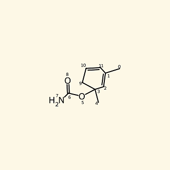 CC1=CC(C)(OC(N)=O)CC=C1